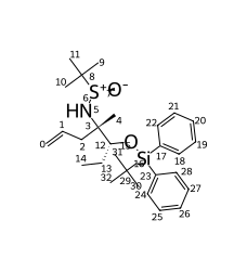 C=CC[C@](C)(N[S@+]([O-])C(C)(C)C)[C@@H](CC)O[Si](c1ccccc1)(c1ccccc1)C(C)(C)C